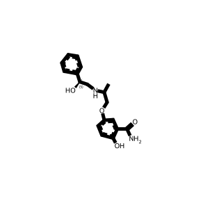 CC(COc1ccc(O)c(C(N)=O)c1)NC[C@@H](O)c1ccccc1